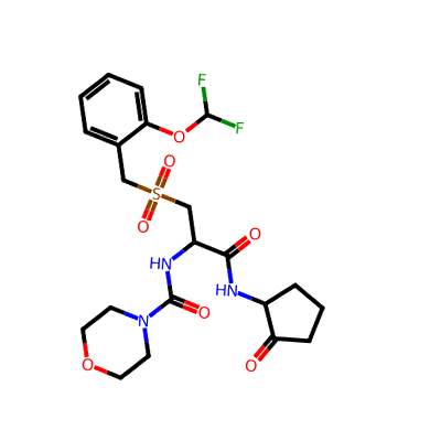 O=C1CCCC1NC(=O)C(CS(=O)(=O)Cc1ccccc1OC(F)F)NC(=O)N1CCOCC1